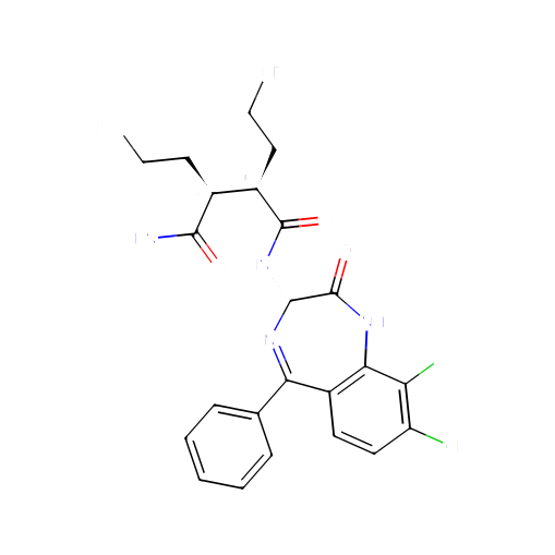 NC(=O)[C@@H](CCC(F)(F)F)[C@@H](CCC(F)(F)F)C(=O)N[C@H]1N=C(c2ccccc2)c2ccc(Cl)c(Cl)c2NC1=O